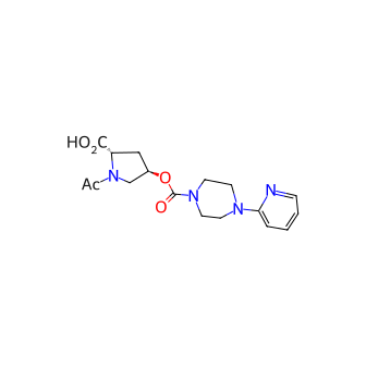 CC(=O)N1C[C@H](OC(=O)N2CCN(c3ccccn3)CC2)C[C@H]1C(=O)O